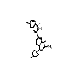 Cc1ccc([C@H](C)NC(=O)c2ccc3c(N4CCN(C)CC4)nc(N)nc3c2)cc1